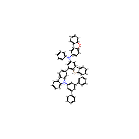 c1ccc(-c2cc(-c3ccccc3)cc(-n3c4ccccc4c4ccc(-c5cc(N(c6ccccc6)c6ccc7oc8ccccc8c7c6)cc6c5sc5ccccc56)cc43)c2)cc1